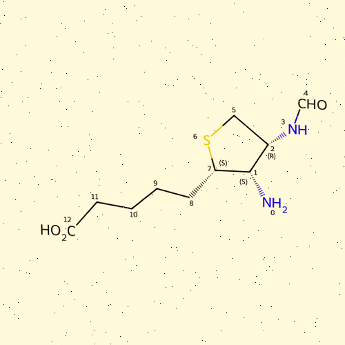 N[C@H]1[C@@H](NC=O)CS[C@H]1CCCCC(=O)O